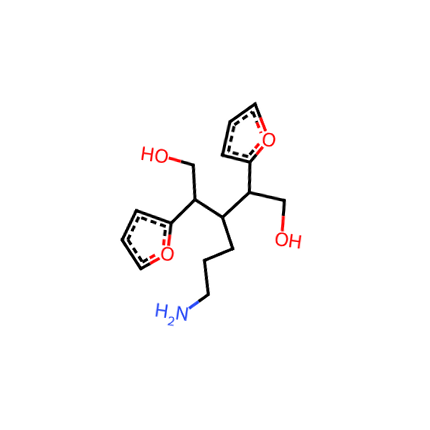 NCCCC(C(CO)c1ccco1)C(CO)c1ccco1